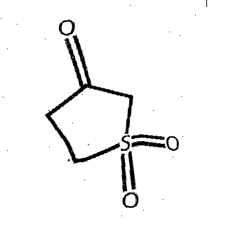 O=C1C[CH]S(=O)(=O)C1